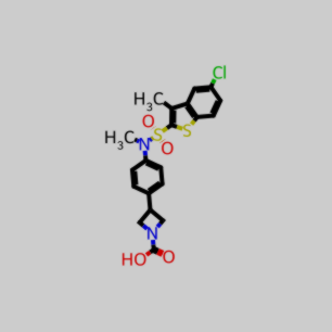 Cc1c(S(=O)(=O)N(C)c2ccc(C3CN(C(=O)O)C3)cc2)sc2ccc(Cl)cc12